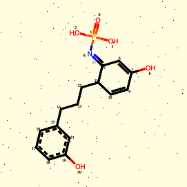 O=P(O)(O)/N=C1\C=C(O)C=CC1CCCc1cccc(O)c1